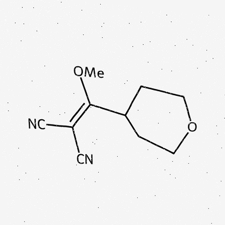 COC(=C(C#N)C#N)C1CCOCC1